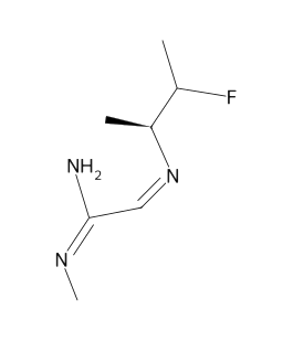 C/N=C(N)\C=N/[C@@H](C)C(C)F